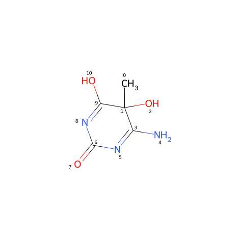 CC1(O)C(N)=NC(=O)N=C1O